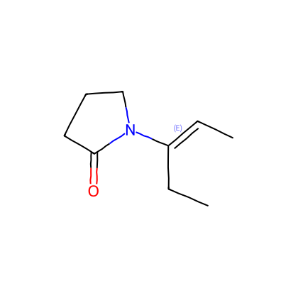 C/C=C(\CC)N1CCCC1=O